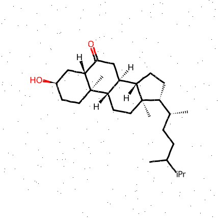 CC(C)C(C)CC[C@@H](C)[C@H]1CC[C@H]2[C@@H]3CC(=O)[C@H]4C[C@H](O)CC[C@]4(C)[C@H]3CC[C@]12C